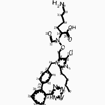 CCCCc1nc(Cl)c(CON(C=O)C(CCCCN)C(=O)O)n1Cc1ccc(-c2ccccc2-c2nnn[nH]2)cc1